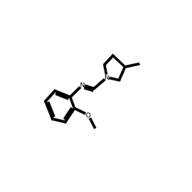 COc1ccccc1N=CN1CCC(C)C1